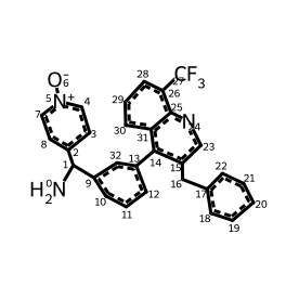 NC(c1cc[n+]([O-])cc1)c1cccc(-c2c(Cc3ccccc3)cnc3c(C(F)(F)F)cccc23)c1